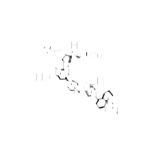 COC1CN(c2nc(C)cc(N3CCN(C[C@H]4CN(c5ccc(C#N)c6ncccc56)C[C@@H](C)O4)CC3)n2)C[C@@H]1NC(=O)OC(C)(C)C